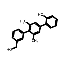 Cc1cc(-c2ccccc2O)cc(C)c1-c1cccc(CO)c1